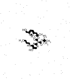 CCCCNc1nc(N(C(=O)OC(C)(C)C)C(=O)OC(C)(C)Cc2ccc(CO)nn2)ncc1O